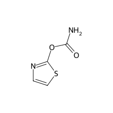 NC(=O)Oc1nccs1